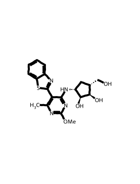 COc1nc(C)c(-c2nc3ccccc3s2)c(N[C@@H]2C[C@H](CO)[C@@H](O)[C@H]2O)n1